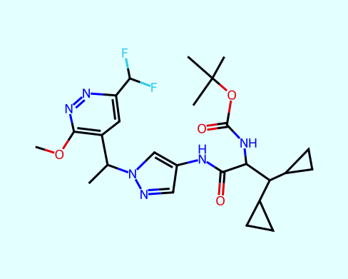 COc1nnc(C(F)F)cc1C(C)n1cc(NC(=O)C(NC(=O)OC(C)(C)C)C(C2CC2)C2CC2)cn1